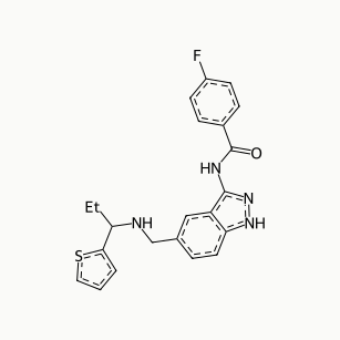 CCC(NCc1ccc2[nH]nc(NC(=O)c3ccc(F)cc3)c2c1)c1cccs1